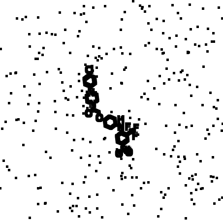 O=C(CO[C@H]1CC[C@H](Nc2ccc([N+](=O)[O-])cc2C(F)(F)F)CC1)N1CCN(c2ccc(Cl)cc2)CC1